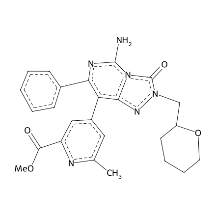 COC(=O)c1cc(-c2c(-c3ccccc3)nc(N)n3c(=O)n(CC4CCCCO4)nc23)cc(C)n1